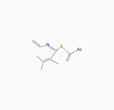 C=C/N=C(/SC(=C)C(C)=O)C(C)=C(C)C